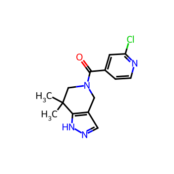 CC1(C)CN(C(=O)c2ccnc(Cl)c2)Cc2cn[nH]c21